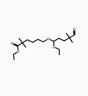 CCOC(=O)C(C)(C)CCCCOC(CCC(C)(C)C=O)OCC